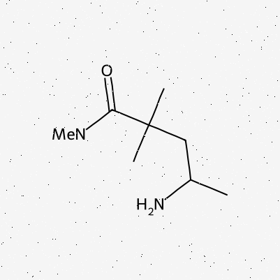 CNC(=O)C(C)(C)CC(C)N